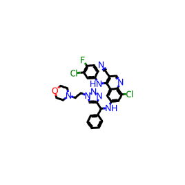 N#Cc1cnc2c(Cl)cc(NC(c3ccccc3)c3cn(CCN4CCOCC4)nn3)cc2c1Nc1ccc(F)c(Cl)c1